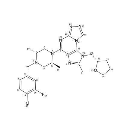 Cc1nc2c(N3C[C@@H](C)N(Cc4ccc(Cl)c(F)c4)C[C@@H]3C)nc3nncn3c2n1C[C@@H]1CCCO1